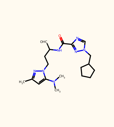 Cc1cc(N(C)C)n(CCC(C=O)NC(=O)c2ncn(CC3CCCC3)n2)n1